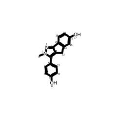 Cn1nc2c(c1-c1ccc(O)cc1)Cc1cc(O)ccc1-2